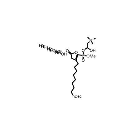 CCCCCCCCCCCCCCCCCCC1=C(P(=O)(OC)OC(O)C[N+](C)(C)C)OC(=O)C1.[H+].[H+].[H+].[H+].[OH-].[OH-].[OH-].[OH-].[OH-]